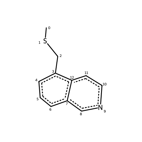 CSCc1cccc2cnccc12